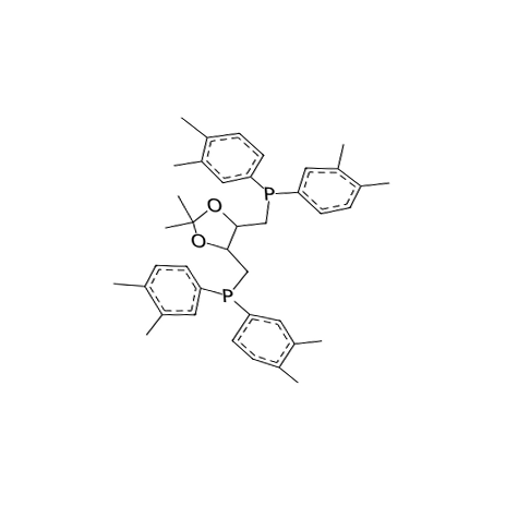 Cc1ccc(P(CC2OC(C)(C)OC2CP(c2ccc(C)c(C)c2)c2ccc(C)c(C)c2)c2ccc(C)c(C)c2)cc1C